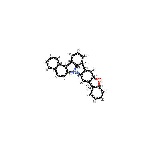 c1ccc2c(c1)ccc1c2c2cccc3c4cc5oc6ccccc6c5cc4n1c32